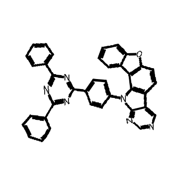 c1ccc(-c2nc(-c3ccccc3)nc(-c3ccc(-n4c5ncncc5c5ccc6oc7ccccc7c6c54)cc3)n2)cc1